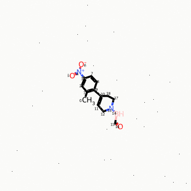 Cc1cc([N+](=O)[O-])ccc1C1=CCN(BC=O)CC1